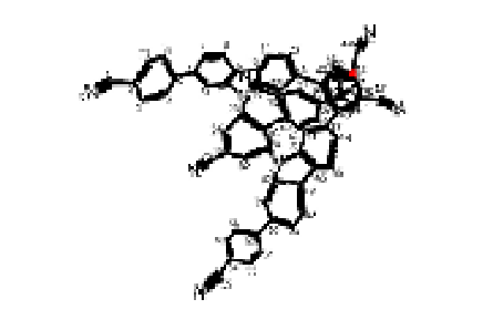 N#Cc1ccc(-c2ccc3c4ccc(-c5ccc(C#N)cc5)cc4n(-c4cc(C#N)cc(-n5c6cc(-c7ccc(C#N)cc7)ccc6c6ccc(-c7ccc(C#N)cc7)cc65)c4-c4ccc(C(F)(F)F)cc4C#N)c3c2)cc1